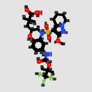 COc1nn2c(c1S(=O)(=O)N1C[C@H](CC(C)(C)C(=O)O)Oc3ccc(NC(=O)OC(C)(C)C(F)(F)F)cc31)CCCC2